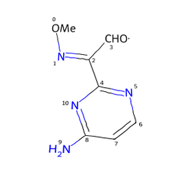 CON=C([C]=O)c1nccc(N)n1